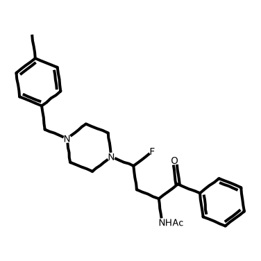 CC(=O)NC(CC(F)N1CCN(Cc2ccc(C)cc2)CC1)C(=O)c1ccccc1